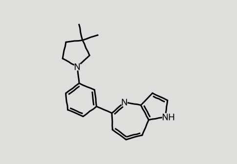 CC1(C)CCN(c2cccc(C3=Nc4cc[nH]c4C=C=C3)c2)C1